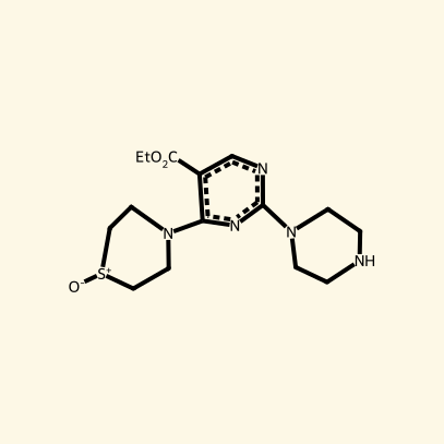 CCOC(=O)c1cnc(N2CCNCC2)nc1N1CC[S+]([O-])CC1